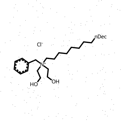 CCCCCCCCCCCCCCCCCC[N+](CCO)(CCO)Cc1ccccc1.[Cl-]